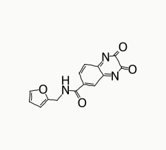 O=C1N=c2ccc(C(=O)NCc3ccco3)cc2=NC1=O